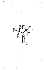 NC(C(F)(F)F)C(F)(F)Br